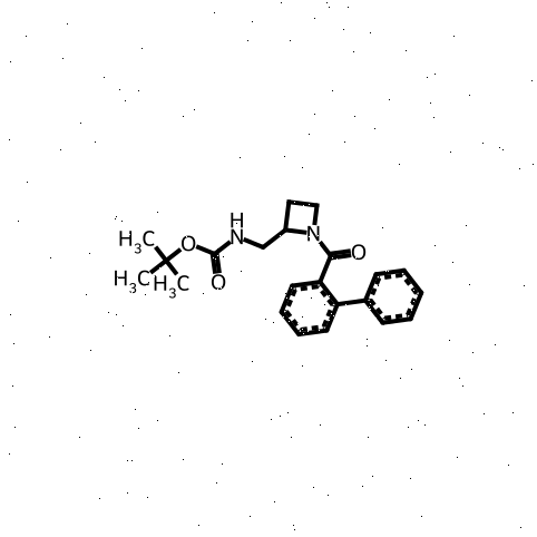 CC(C)(C)OC(=O)NCC1CCN1C(=O)c1ccccc1-c1ccccc1